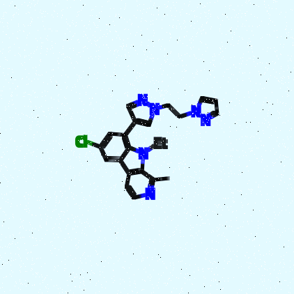 CCn1c2c(-c3cnn(CCn4cccn4)c3)cc(Cl)cc2c2ccnc(C)c21